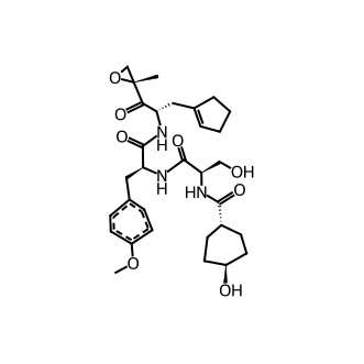 COc1ccc(C[C@H](NC(=O)[C@@H](CO)NC(=O)[C@H]2CC[C@H](O)CC2)C(=O)N[C@@H](CC2=CCCC2)C(=O)[C@@]2(C)CO2)cc1